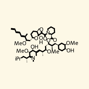 C=C/C=C/C=C(\C)[C@H](C[C@@H]1CC[C@@H](C)[C@](O)(C(=O)C(=O)N2CCCC[C@H]2C(=O)O[C@@H](C[C@@H](OC)[C@H](C)/C=C(\C)[C@@H](O)[C@@H](OC)/C(=N/C)[C@H](C)CC(C)C)[C@H](C)C[C@@H]2CC[C@@H](O)[C@H](OC)C2)O1)OC